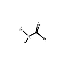 B=C(CC)N(C)CC